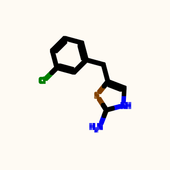 NC1NC=C(Cc2cccc(Cl)c2)S1